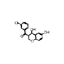 O=C(c1cccc(Cl)c1)C1COc2ccc(O)cc2C1O